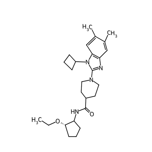 CCO[C@H]1CCCC1NC(=O)C1CCN(c2nc3cc(C)c(C)cc3n2C2CCC2)CC1